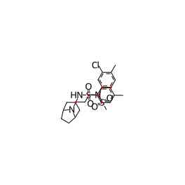 Cc1ccc(S(=O)(=O)NC2CC3CCC(C2)N3CCCN(c2ccc(C)c(Cl)c2)S(C)(=O)=O)cc1